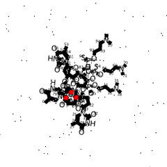 Cc1cn([C@H]2C[C@@H](O)[C@@H](COP(=S)(OCCCN(C)C)O[C@@H]3C[C@H](n4cc(C)c(=O)[nH]c4=O)O[C@@H]3COP(=S)(OCCCN(C)C)O[C@@H]3C[C@H](n4cc(C)c(=O)[nH]c4=O)O[C@@H]3COP(=S)(OCCCN(C)C)O[C@@H]3C[C@H](n4cc(C)c(=O)[nH]c4=O)O[C@@H]3CO[PH](=S)OCCCN(C)C)O2)c(=O)[nH]c1=O